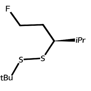 CC(C)[C@H](CCF)SSC(C)(C)C